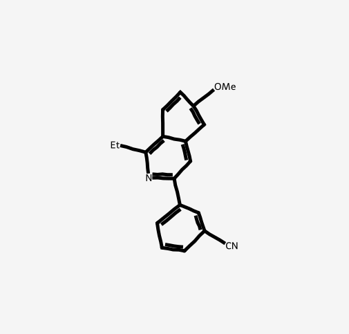 CCc1nc(-c2cccc(C#N)c2)cc2cc(OC)ccc12